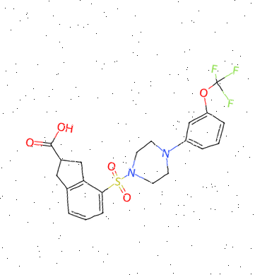 O=C(O)C1Cc2cccc(S(=O)(=O)N3CCN(c4cccc(OC(F)(F)F)c4)CC3)c2C1